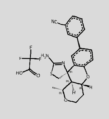 C[C@H]1OCC[C@H]2Oc3ccc(-c4cccc(C#N)c4)cc3[C@@]3(CSC(N)=N3)[C@H]12.O=C(O)C(F)(F)F